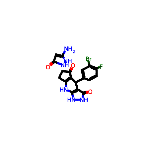 Nc1cc(=O)[nH][nH]1.O=C1CCC2=C1C(c1ccc(F)c(Br)c1)c1c([nH][nH]c1=O)N2